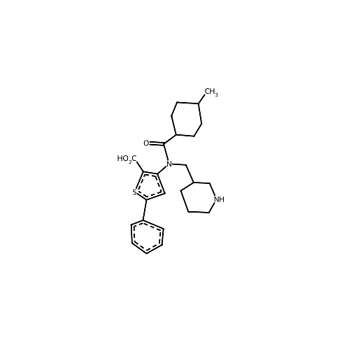 CC1CCC(C(=O)N(CC2CCCNC2)c2cc(-c3ccccc3)sc2C(=O)O)CC1